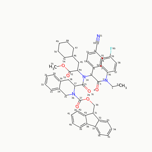 CCN(C(=O)C(c1ccc(C#N)cc1)N(C(=O)C1Cc2ccccc2CN1C(=O)OCC1c2ccccc2-c2ccccc21)C(CC1CCCCC1)C(=O)OC)c1ccc(F)cc1